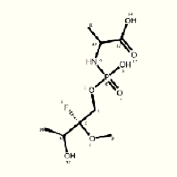 CO[C@](F)(COP(=O)(O)NC(C)C(=O)O)[C@H](C)O